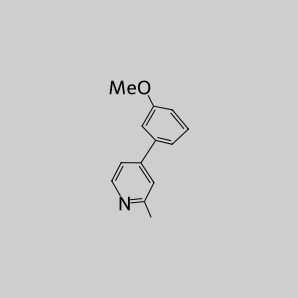 COc1cccc(-c2ccnc(C)c2)c1